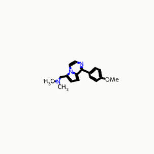 COc1ccc(-c2nccn3c(CN(C)C)ccc23)cc1